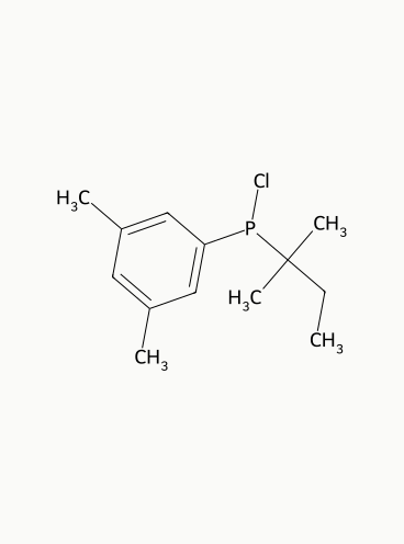 CCC(C)(C)P(Cl)c1cc(C)cc(C)c1